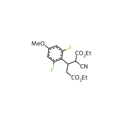 CCOC(=O)CC(c1c(F)cc(OC)cc1F)C(C#N)C(=O)OCC